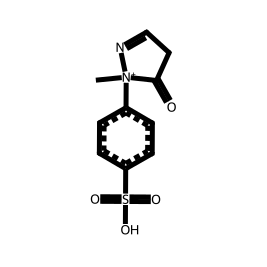 C[N+]1(c2ccc(S(=O)(=O)O)cc2)N=CCC1=O